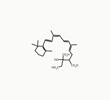 CC(C=C/C=C(/C)C=CC1=C(C)CCCC1(C)C)=CCC(C(=O)O)C(O)(CC(=O)O)C(=O)O